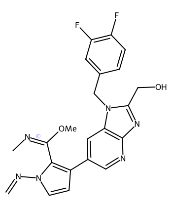 C=Nn1ccc(-c2cnc3nc(CO)n(Cc4ccc(F)c(F)c4)c3c2)c1/C(=N\C)OC